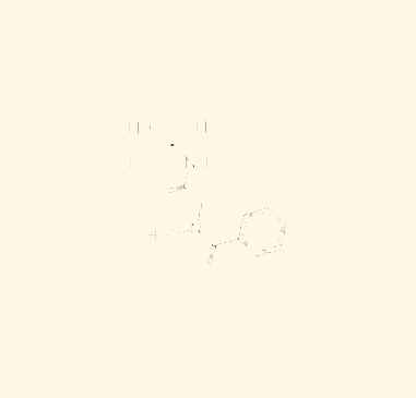 CN(CC(=O)NC(C)(C)C)C(=O)c1ccccc1